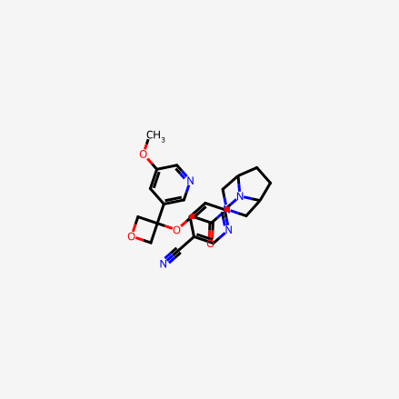 COc1cncc(C2(OCC(=O)N3CC4CCC(C3)N4c3ccc(C#N)cn3)COC2)c1